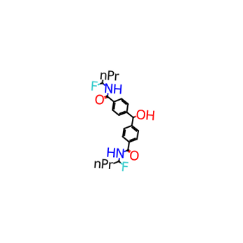 CCCC(F)NC(=O)c1ccc(C(O)c2ccc(C(=O)NC(F)CCC)cc2)cc1